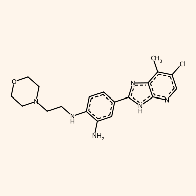 Cc1c(Cl)cnc2[nH]c(-c3ccc(NCCN4CCOCC4)c(N)c3)nc12